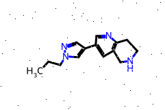 CCCn1cc(-c2cnc3c(c2)CNCC3)cn1